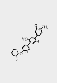 Cn1ccc(-c2cc(O)c(-c3ccc(O[C@H]4CCCC[C@H]4F)nn3)cc2F)cc1=O